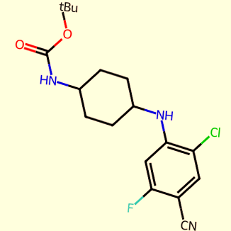 CC(C)(C)OC(=O)NC1CCC(Nc2cc(F)c(C#N)cc2Cl)CC1